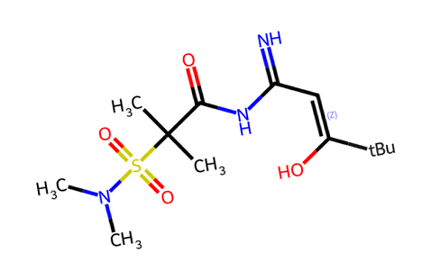 CN(C)S(=O)(=O)C(C)(C)C(=O)NC(=N)/C=C(\O)C(C)(C)C